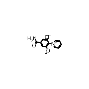 COc1cc(C(N)=O)ccc1-[n+]1ccccc1.[Cl-]